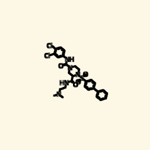 CN(C)CCNC(=O)C1CN(C(=O)Nc2ccc(Cl)c(Cl)c2)CCN1S(=O)(=O)c1ccc(-c2ccccc2)cc1